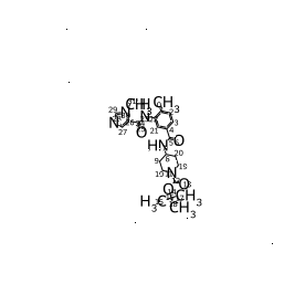 Cc1ccc(C(=O)NC2CCN(C(=O)OC(C)(C)C)CC2)cc1NC(=O)c1cncn1C